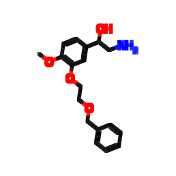 COc1ccc(C(O)CN)cc1OCCOCc1ccccc1